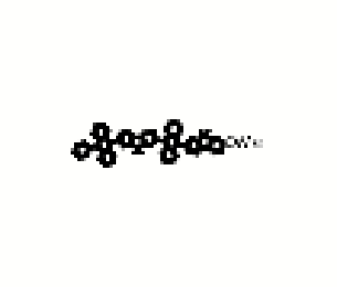 COc1ccc2c(c1)C(C)(C)c1cc(-c3c4ccccc4c(-c4ccc5c(c4)C(C)(C)c4cc(-c6c7ccccc7c(-c7ccccc7)c7ccccc67)ccc4-5)c4ccccc34)ccc1-2